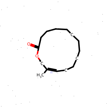 C/C1=C/CCCCCCCCCCC(=O)OC1